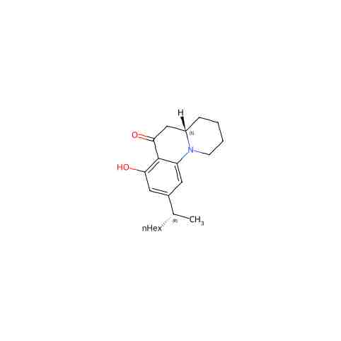 CCCCCC[C@@H](C)c1cc(O)c2c(c1)N1CCCC[C@H]1CC2=O